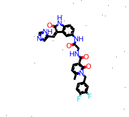 Cc1ccc(C(=O)NCC(=O)Nc2ccc3c(c2)/C(=C/c2cnc[nH]2)C(=O)N3)c(=O)n1Cc1ccc(F)c(F)c1